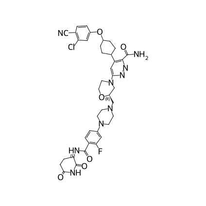 N#Cc1ccc(OC2CCC(c3cc(N4CCO[C@H](CN5CCN(c6ccc(C(=O)N[C@H]7CCC(=O)NC7=O)c(F)c6)CC5)C4)nnc3C(N)=O)CC2)cc1Cl